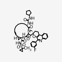 CC1(S(=O)(=O)NC(=O)[C@@]23C[C@H]2/C=C\CCCCC[C@H](NC(=O)NC2CCCC2)C(=O)N2C[C@@]4(CCc5c(c(-c6cccc(F)c6)nc6ccccc56)O4)C[C@H]2C(=O)N3)CC1